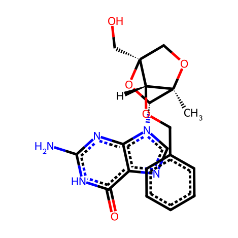 C[C@]12OC[C@](CO)(O[C@H]1n1cnc3c(=O)[nH]c(N)nc31)[C@H]2OCc1ccccc1